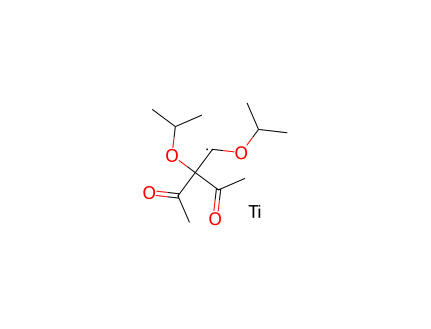 CC(=O)C([CH]OC(C)C)(OC(C)C)C(C)=O.[Ti]